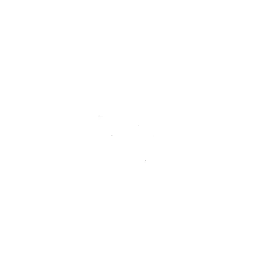 C=C[C](CCC)C(C)(C)C